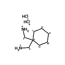 Cl.Cl.NCC1(CN)CCCCC1